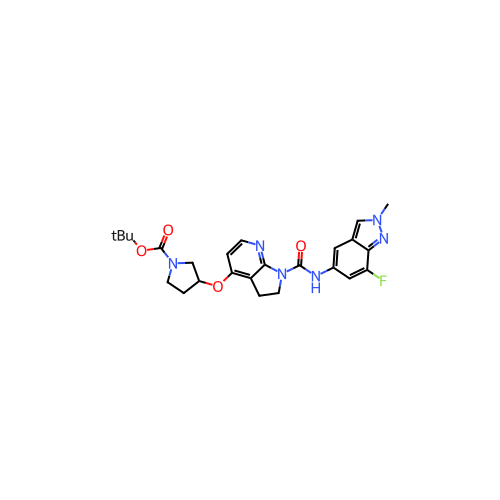 Cn1cc2cc(NC(=O)N3CCc4c(OC5CCN(C(=O)OC(C)(C)C)C5)ccnc43)cc(F)c2n1